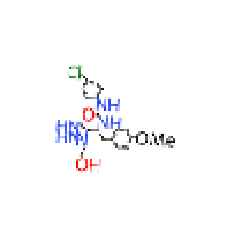 COc1ccc(C[C@H](NC(=O)Nc2ccc(Cl)cc2)C2=CNNN2CCO)cc1